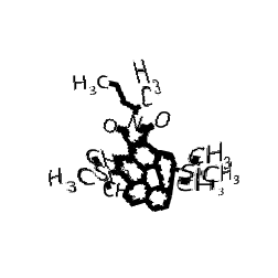 CCCC(C)n1c(=O)c2c3cc([Si](C)(C)C)c4ccc5ccc6c([Si](C)(C)C)cc(c2c1=O)c1c6c5c4c31